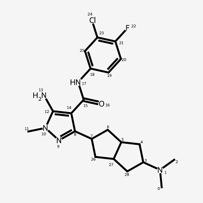 CN(C)C1CC2CC(c3nn(C)c(N)c3C(=O)Nc3ccc(F)c(Cl)c3)CC2C1